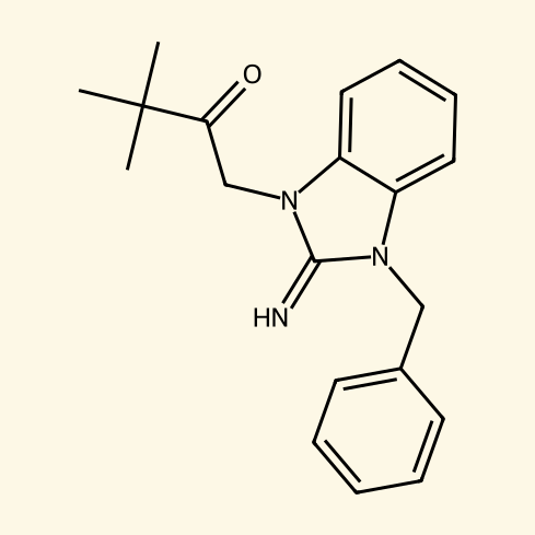 CC(C)(C)C(=O)Cn1c(=N)n(Cc2ccccc2)c2ccccc21